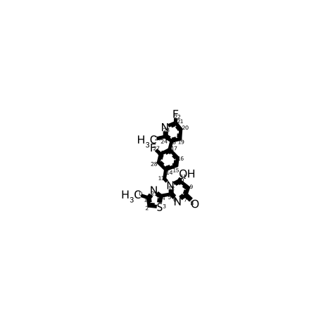 Cc1csc(-c2nc(=O)cc(O)n2Cc2ccc(-c3ccc(F)nc3C)c(F)c2)n1